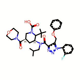 CC(C)CN(C(=O)c1nnn(-c2ccccc2F)c1COc1ccccc1)[C@H]1C[C@@H](C(=O)N2CCOCC2)CN(C(=O)O)C1C(C)(C)C